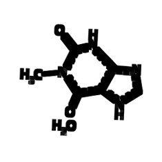 Cn1c(=O)[nH]c2nc[nH]c2c1=O.O